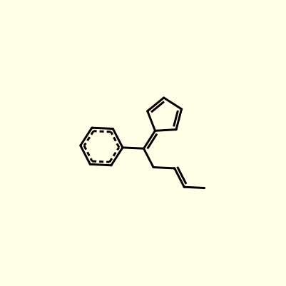 CC=CCC(=C1C=CC=C1)c1ccccc1